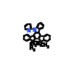 CC1(C)c2ccccc2-c2c1c1c(c3c2c2ccccc2n3-c2ccccn2)-c2ccccc2C1(C)C